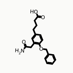 NC(=O)Cc1cc(CCCC(=O)O)ccc1OCc1ccccc1